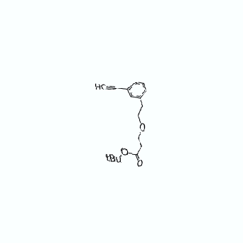 C#Cc1cccc(CCOCCC(=O)OC(C)(C)C)c1